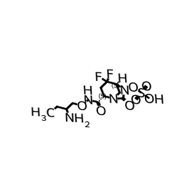 CCC(N)CONC(=O)[C@@H]1CC(F)(F)[C@@H]2CN1C(=O)N2OS(=O)(=O)O